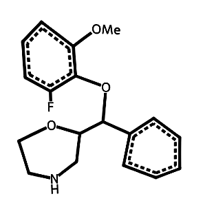 COc1cccc(F)c1OC(c1ccccc1)C1CNCCO1